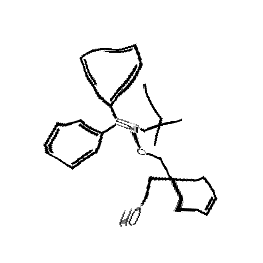 CC(C)(C)[Si](OCC1(CO)CC=CC1)(c1ccccc1)c1ccccc1